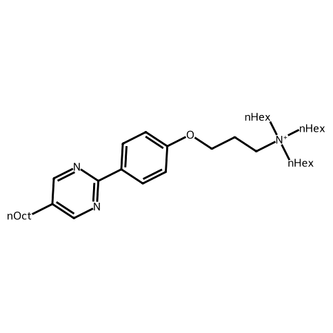 CCCCCCCCc1cnc(-c2ccc(OCCC[N+](CCCCCC)(CCCCCC)CCCCCC)cc2)nc1